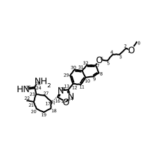 COCCCCOc1ccc2cc(-c3noc([C@@H]4CCCC(C)C(C(=N)N)C4)n3)ccc2c1